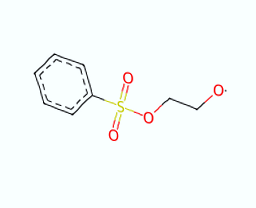 [O]CCOS(=O)(=O)c1ccccc1